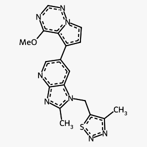 COc1ncnn2ccc(-c3cnc4nc(C)n(Cc5snnc5C)c4c3)c12